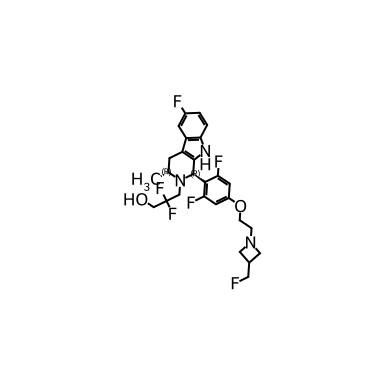 C[C@@H]1Cc2c([nH]c3ccc(F)cc23)[C@@H](c2c(F)cc(OCCN3CC(CF)C3)cc2F)N1CC(F)(F)CO